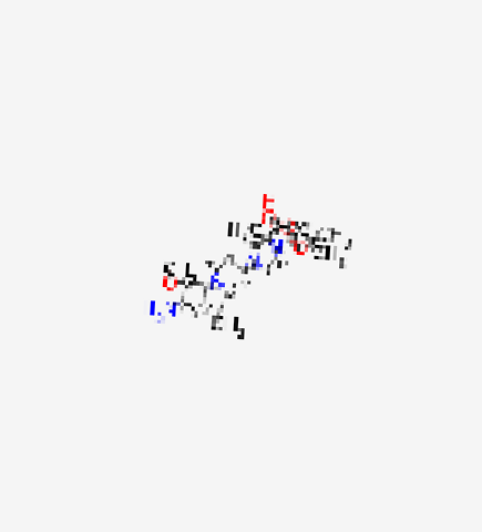 CCc1cc(N)c(OC)cc1N1CCC(N2CCN(C(=O)OC(C)(C)C)[C@@](C)(CO)C2)CC1